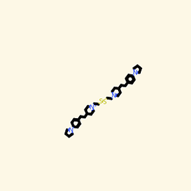 C1=CC(N2CCCC2)CC=C1CCC1CC=[N+](CCSSCC[N+]2=CCC(CCc3ccc(N4CCCC4)cc3)CC2)CC1